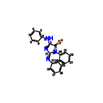 S=C1C(Nc2ccccc2)=N/C(=N/c2ccccc2)N1c1ccccc1